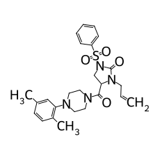 C=CCN1C(=O)N(S(=O)(=O)c2ccccc2)CC1C(=O)N1CCN(c2cc(C)ccc2C)CC1